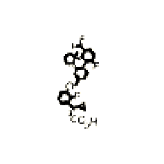 CC1(C)CCC[C@@H]1c1cc(COc2cccc([C@@H](CC(=O)O)C3CC3)c2F)ccc1-c1cc(C(F)F)ccc1F